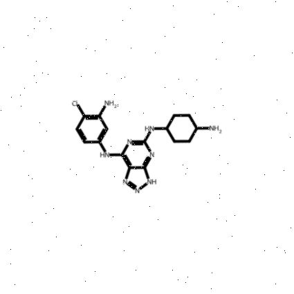 Nc1cc(Nc2nc(NC3CCC(N)CC3)nc3[nH]nnc23)ccc1Cl